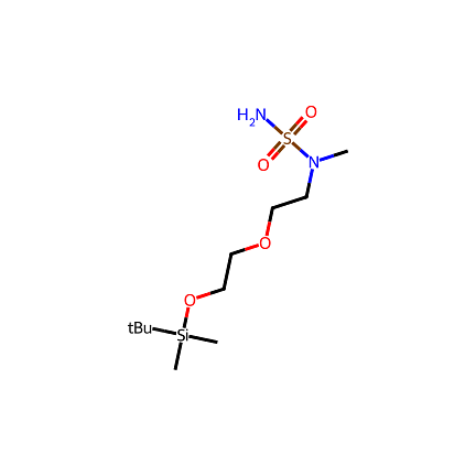 CN(CCOCCO[Si](C)(C)C(C)(C)C)S(N)(=O)=O